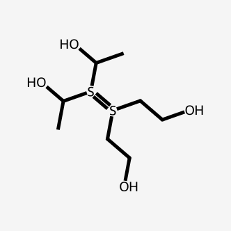 CC(O)S(C(C)O)=S(CCO)CCO